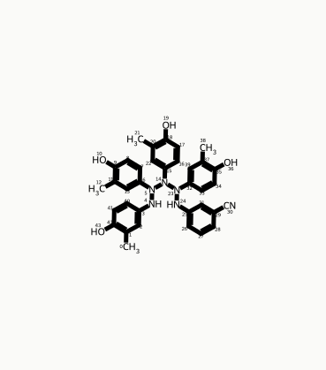 Cc1cc(NN(c2ccc(O)c(C)c2)N(c2ccc(O)c(C)c2)N(Nc2cccc(C#N)c2)c2ccc(O)c(C)c2)ccc1O